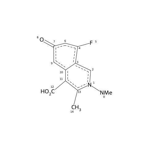 CNn1cc2c(F)cc(=O)cc-2c(C(=O)O)c1C